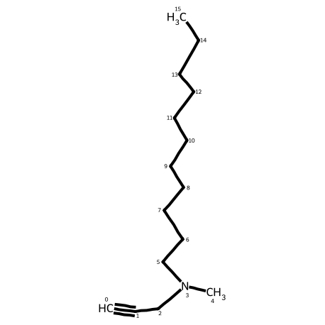 C#CCN(C)CCCCCCCCCCC